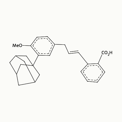 COc1ccc(CC=Cc2ccccc2C(=O)O)cc1C12CC3CC(CC(C3)C1)C2